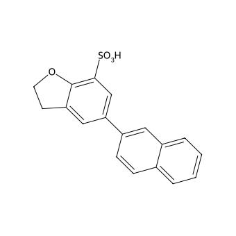 O=S(=O)(O)c1cc(-c2ccc3ccccc3c2)cc2c1OCC2